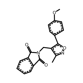 COc1ccc(-c2onc(C)c2CN2C(=O)c3ccccc3C2=O)cc1